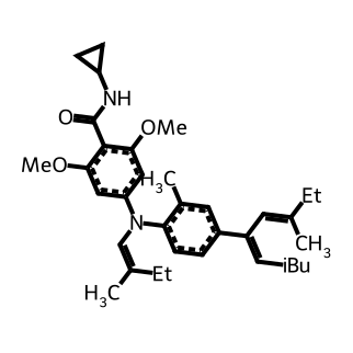 CC/C(C)=C\N(c1cc(OC)c(C(=O)NC2CC2)c(OC)c1)c1ccc(C(/C=C(\C)CC)=C/C(C)CC)cc1C